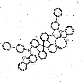 C1#CC/C(N(c2ccc(-c3ccccc3)cc2)c2cccc3c2C2=C(C=CCC2)C32c3ccccc3-c3c(N(c4ccc(-c5ccccc5)cc4)c4cccc5c4oc4ccccc45)cccc32)=c2/oc3ccccc3/c2=C/C1